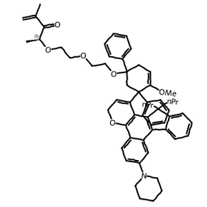 C=C(C)C(=O)[C@H](C)OCCOCCOC1(c2ccccc2)CC=C(OC)C(C2=CCOc3c2c2c(c4cc(N5CCCCC5)ccc34)-c3ccccc3C2(CCC)CCC)(c2ccccc2)C1